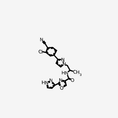 CC(Cn1ccc(-c2ccc(C#N)c(Cl)c2)n1)NC(=O)c1coc(-c2cc[nH]n2)n1